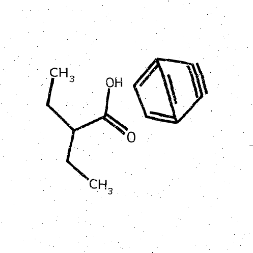 CCC(CC)C(=O)O.c1c2ccc(c#1)cc2